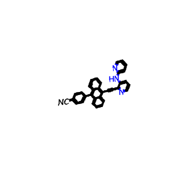 N#Cc1ccc(-c2c3ccccc3c(C#Cc3ncccc3Nc3ccccn3)c3ccccc23)cc1